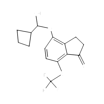 CC(Oc1ccc(SC(F)(F)F)c2c1CCC2=O)C1CCC1